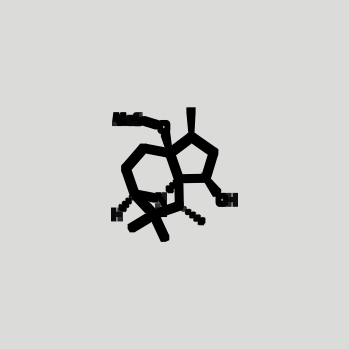 CSO[C@]12CC[C@H]3N[C@]1([C@H](O)C[C@@H]2C)[C@H](C)C3(C)C